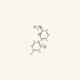 Cc1ccc(-c2cccc(N)n2)c(F)c1